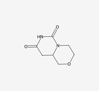 O=C1CC2COCCN2C(=O)N1